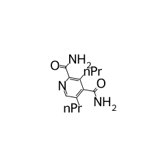 CCCc1cnc(C(N)=O)c(CCC)c1C(N)=O